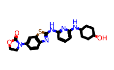 O=C1OCCN1c1ccc2nc(Nc3cccc(NC4CCC(O)CC4)n3)sc2c1